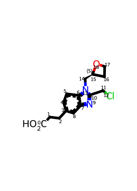 O=C(O)CCc1ccc2c(c1)nc(CCl)n2C[C@@H]1CCO1